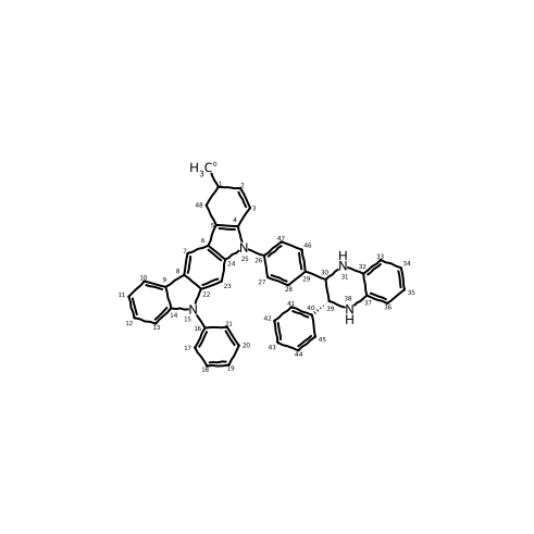 CC1C=Cc2c(c3cc4c5ccccc5n(-c5ccccc5)c4cc3n2-c2ccc(C3Nc4ccccc4N[C@@H]3c3ccccc3)cc2)C1